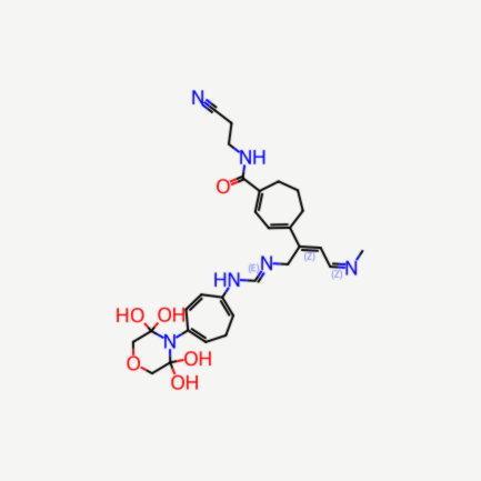 C/N=C\C=C(/C/N=C/NC1=CCC=C(N2C(O)(O)COCC2(O)O)C=C1)C1=CC=C(C(=O)NCCC#N)CCC1